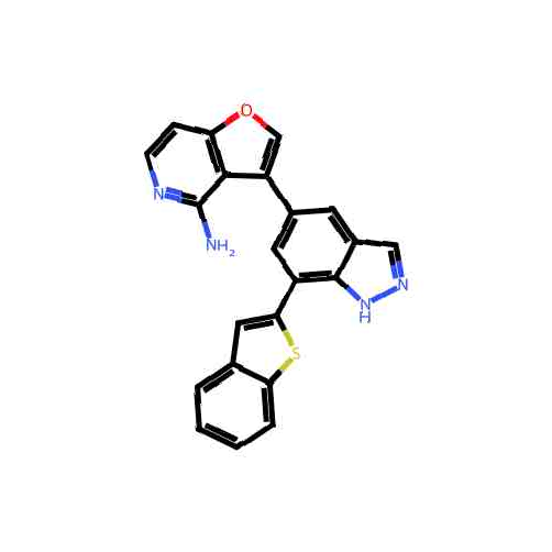 Nc1nccc2occ(-c3cc(-c4cc5ccccc5s4)c4[nH]ncc4c3)c12